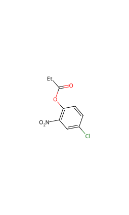 CCC(=O)Oc1ccc(Cl)cc1[N+](=O)[O-]